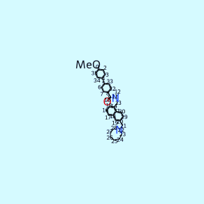 COc1ccc(-c2ccc(C(=O)N(C)Cc3cccc4cc(CN5CCCCCC5)ccc34)cc2)cc1